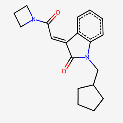 O=C(/C=C1/C(=O)N(CC2CCCC2)c2ccccc21)N1CCC1